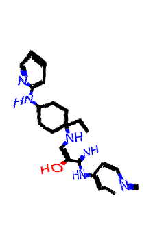 C=N/C=C\C(=C/C)NC(=N)/C(O)=C\NC1(CC)CCC(Nc2ccccn2)CC1